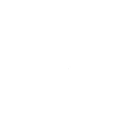 C[CH2][Zr+]([CH2]C)[CH]1C(C)=C(C)c2ccccc21